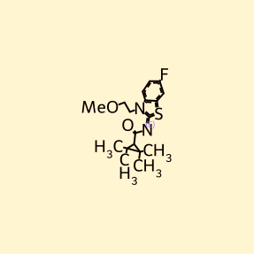 COCCn1/c(=N\C(=O)C2C(C)(C)C2(C)C)sc2cc(F)ccc21